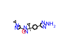 C[C@@](c1ccc(-c2cnc(N)nc2)cc1)(c1noc(-c2cnn(C3CC3)c2)n1)C1CC1